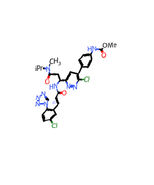 COC(=O)Nc1ccc(-c2cc(C(CC(=O)N(C)C(C)C)NC(=O)/C=C/c3cc(Cl)ccc3-n3cnnn3)nnc2Cl)cc1